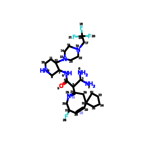 NC(N)C(C(=O)NC1CNCCC1N1CCN(CC(F)(F)F)CC1)/C1=N/CC(F)/C=C\C2(CCCC2)C1